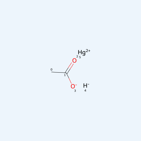 CC(=O)[O-].[H-].[Hg+2]